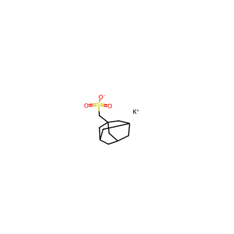 O=S(=O)([O-])CC12CC3CC(CC(C3)C1)C2.[K+]